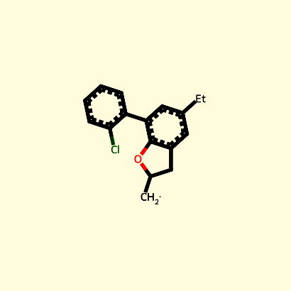 [CH2]C1Cc2cc(CC)cc(-c3ccccc3Cl)c2O1